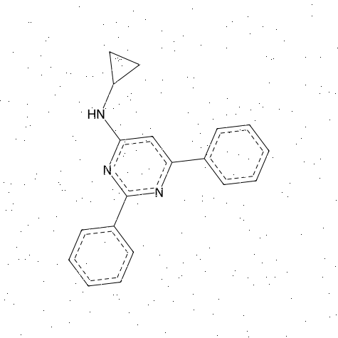 c1ccc(-c2cc(NC3CC3)nc(-c3ccccc3)n2)cc1